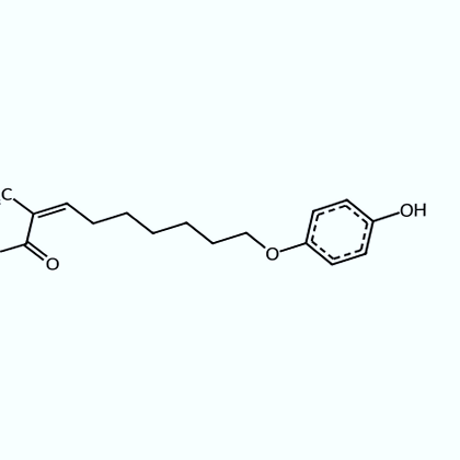 CC(=CCCCCCCOc1ccc(O)cc1)C(=O)O